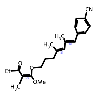 CCC(=O)/C(C)=C(/OC)OCCC/C(C)=C/C(C)=C/c1ccc(C#N)cc1